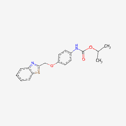 CC(C)OC(=O)Nc1ccc(OCc2nc3ccccc3s2)cc1